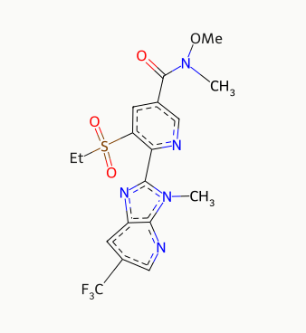 CCS(=O)(=O)c1cc(C(=O)N(C)OC)cnc1-c1nc2cc(C(F)(F)F)cnc2n1C